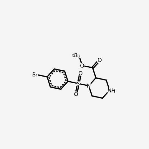 CC(C)(C)OC(=O)C1CNCCN1S(=O)(=O)c1ccc(Br)cc1